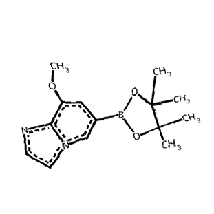 COc1cc(B2OC(C)(C)C(C)(C)O2)cn2ccnc12